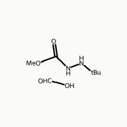 COC(=O)NNC(C)(C)C.O=CO